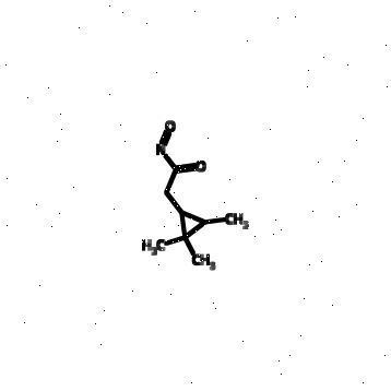 CC1C(CC(=O)N=O)C1(C)C